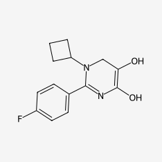 OC1=C(O)N=C(c2ccc(F)cc2)N(C2CCC2)C1